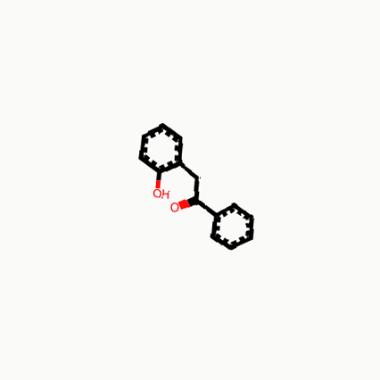 O=C([CH]c1ccccc1O)c1ccccc1